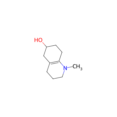 CN1CCCC2=C1CCC(O)C2